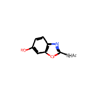 CC(=O)Nc1nc2ccc(O)cc2o1